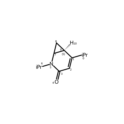 CC(C)C1=CC(=O)N(C(C)C)C2C[C@@H]12